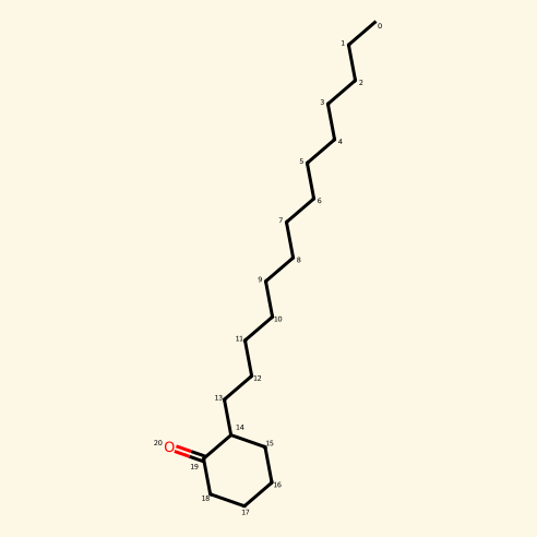 CCCCCCCCCCCCCCC1CCCCC1=O